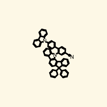 N#Cc1ccc(-c2ccc(-n3c4ccccc4c4ccccc43)cc2)c(-n2c3ccccc3c3ccc4c(c32)-c2ccccc2C4(c2ccccc2)C2C=CC=CC2)c1